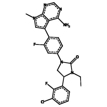 CCN1C(=O)N(c2ccc(-c3cn(C)c4ncnc(N)c34)c(F)c2)CC1c1cccc(Cl)c1F